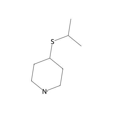 CC(C)SC1CC[N]CC1